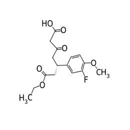 CCOC(=O)C[C@H](CC(=O)CC(=O)O)c1ccc(OC)c(F)c1